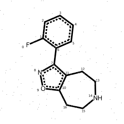 Fc1ccccc1-c1noc2c1CCNCC2